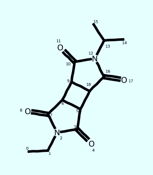 CCN1C(=O)C2C(C1=O)C1C(=O)N(C(C)C)C(=O)C21